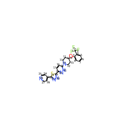 FC(F)(F)c1ccccc1OC1CCN(c2ccc(-c3nnc(-c4ccncc4)s3)nn2)CC1